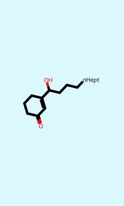 CCCCCCCCCCC(O)C1=CC(=O)CCC1